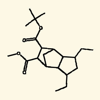 CCC1CC(CC)C2C3CC(C(C(=O)OC)C3C(=O)OC(C)(C)C)C12